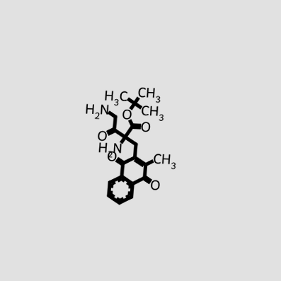 CC1=C(CC(N)(C(=O)CN)C(=O)OC(C)(C)C)C(=O)c2ccccc2C1=O